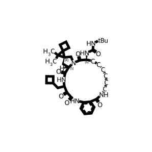 CC(C)(C)NC(=O)N[C@H]1CCCCCCNC(=O)c2ccccc2NC(=O)C(=O)C(CC2CCC2)NC(=O)[C@@H]2C[C@@]3(CN2C1=O)C(C)(C)C31CCC1